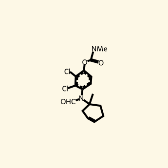 CNC(=O)Oc1ccc(N(C=O)C2(C)CC=CCC2)c(Cl)c1Cl